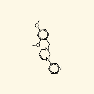 COc1ccc(CN2CC=CN(c3cccnc3)C2)c(OC)c1